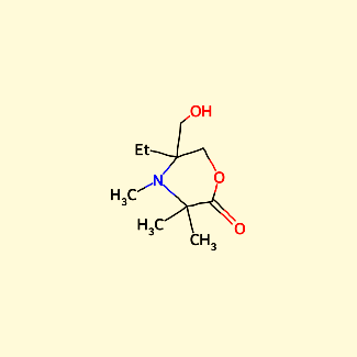 CCC1(CO)COC(=O)C(C)(C)N1C